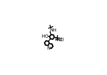 CC(C)(C)NCc1cc(C(C)(C)C)cc(-c2cccc3ncccc23)c1O.Cl.Cl